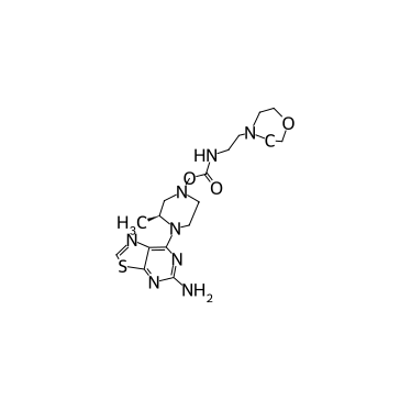 C[C@H]1CN(OC(=O)NCCN2CCOCC2)CCN1c1nc(N)nc2scnc12